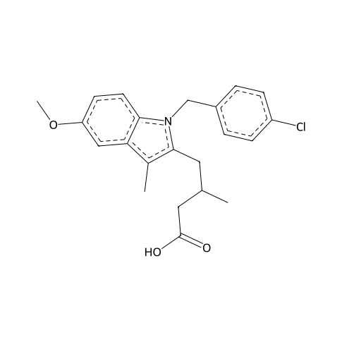 COc1ccc2c(c1)c(C)c(CC(C)CC(=O)O)n2Cc1ccc(Cl)cc1